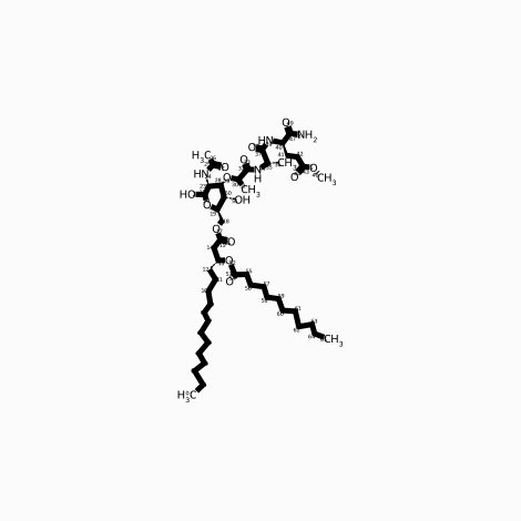 CCCCCCCCCCCCC[C@H](CC(=O)OC[C@H]1OC(O)[C@H](NC(C)=O)[C@H](OC(C)C(=O)N[C@@H](C)C(=O)N[C@H](CCC(=O)OC)C(N)=O)[C@@H]1O)OC(=O)CCCCCCCCCCC